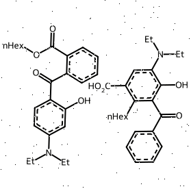 CCCCCCOC(=O)c1ccccc1C(=O)c1ccc(N(CC)CC)cc1O.CCCCCCc1c(C(=O)O)cc(N(CC)CC)c(O)c1C(=O)c1ccccc1